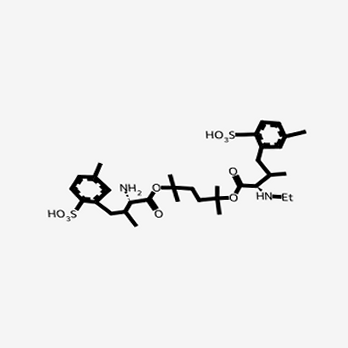 CCN[C@H](C(=O)OC(C)(C)CCC(C)(C)OC(=O)[C@@H](N)C(C)Cc1cc(C)ccc1S(=O)(=O)O)C(C)Cc1cc(C)ccc1S(=O)(=O)O